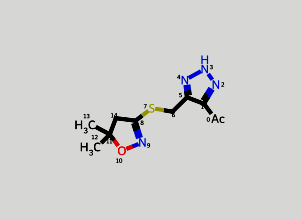 CC(=O)c1n[nH]nc1CSC1=NOC(C)(C)C1